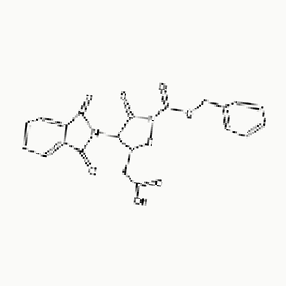 O=C(O)CC1ON(C(=O)OCc2ccccc2)C(=O)C1N1C(=O)c2ccccc2C1=O